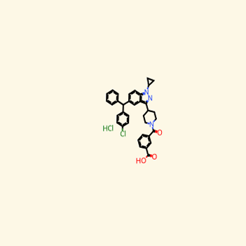 Cl.O=C(O)c1cccc(C(=O)N2CCC(c3nn(C4CC4)c4ccc(C(c5ccccc5)c5ccc(Cl)cc5)cc34)CC2)c1